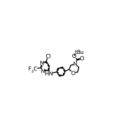 CC(C)(C)OC(=O)N1CCOC(c2ccc(Nc3cc(Cl)nc(C(F)(F)F)n3)cc2)C1